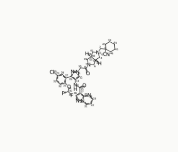 N#CC1(CN2C[C@@H]3CN(C(=O)Cn4cc(NC(=O)c5cnn6cccnc56)c(-c5cc(Cl)ccc5OC(F)F)n4)C[C@@H]3C2)CCCCC1